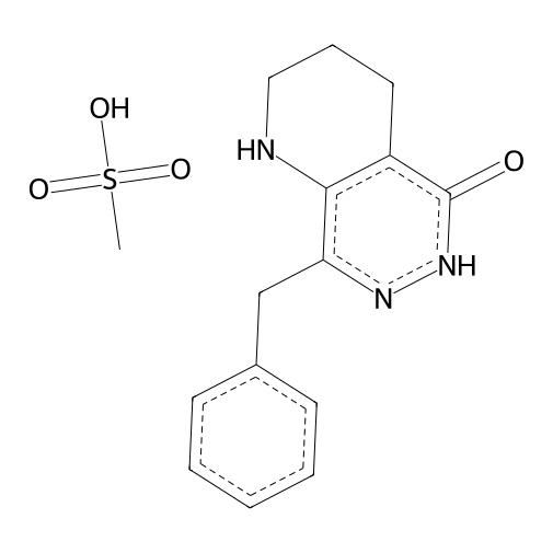 CS(=O)(=O)O.O=c1[nH]nc(Cc2ccccc2)c2c1CCCN2